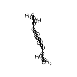 C=CC(=O)OCC(O)COCCCCOc1ccc(C(=O)Oc2ccc3cc(OC(=O)c4ccc(OCCCCOCC(O)COC(=O)C=C)cc4)ccc3c2)cc1